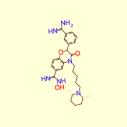 C[C@@H]1CCC[C@H](C)N1CCCCCN1C(=O)C(c2cccc(C(=N)N)c2)Oc2ccc(C(=N)NO)cc21